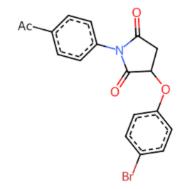 CC(=O)c1ccc(N2C(=O)CC(Oc3ccc(Br)cc3)C2=O)cc1